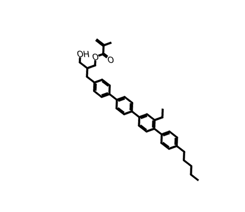 C=C(C)C(=O)OCC(CO)Cc1ccc(-c2ccc(-c3ccc(-c4ccc(CCCCC)cc4)c(CC)c3)cc2)cc1